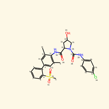 Cc1cc(-c2ccccc2S(C)(=O)=O)cc(C)c1NC(=O)C1CC(O)CN1C(=O)Nc1ccc(Cl)cc1